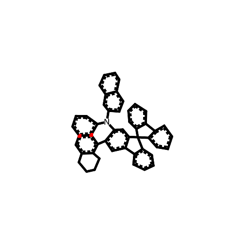 c1ccc(N(c2ccc3ccccc3c2)c2cc3c(cc2-c2cccc4c2CCCC4)-c2ccccc2C32c3ccccc3-c3ccccc32)cc1